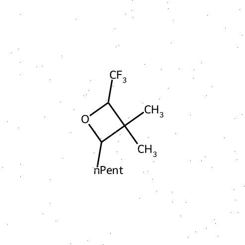 CCCCCC1OC(C(F)(F)F)C1(C)C